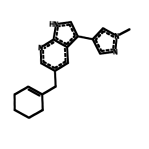 Cn1cc(-c2c[nH]c3ncc(CC4=CCCCC4)cc23)cn1